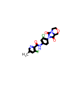 Cc1cnc(C(=O)Nc2ccc(N3C(=O)C4COCCN4C3=O)c(Cl)c2)c(F)c1